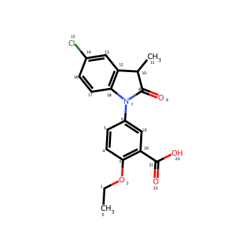 CCOc1ccc(N2C(=O)C(C)c3cc(Cl)ccc32)cc1C(=O)O